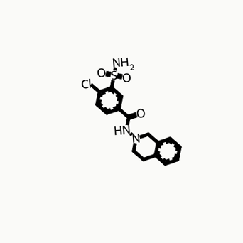 NS(=O)(=O)c1cc(C(=O)NN2CCc3ccccc3C2)ccc1Cl